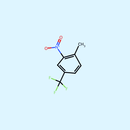 Cc1ccc(C(F)(F)F)cc1[N+](=O)[O-]